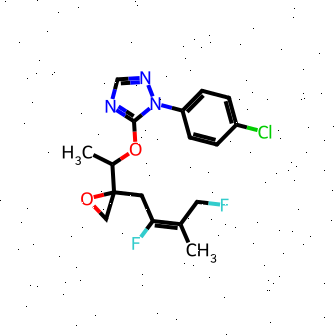 CC(CF)=C(F)CC1(C(C)Oc2ncnn2-c2ccc(Cl)cc2)CO1